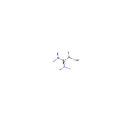 CCC(C)C(C)[SiH](N(C)C)N(C)C